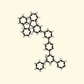 c1ccc(-c2cc(-c3ccc(-c4cccc(-c5ccc6c(c5)-c5ccccc5C65c6ccccc6-c6ccccc65)c4)cc3)nc(-c3ccccc3)n2)cc1